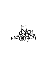 C#Cc1ccc2[nH]c(C)c(CC(N)C(=O)O)c2c1[N+](=O)[O-]